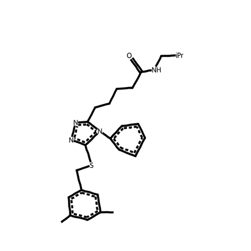 Cc1cc(C)cc(CSc2nnc(CCCCC(=O)NCC(C)C)n2-c2ccccc2)c1